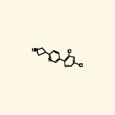 Clc1ccc(-c2ccc(C3CNC3)nc2)c(Cl)c1